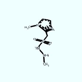 CNNS(=O)(=O)c1nccn1C